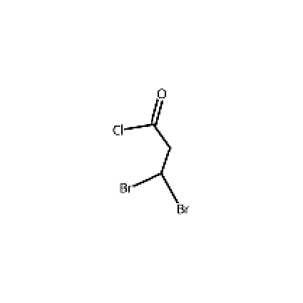 O=C(Cl)CC(Br)Br